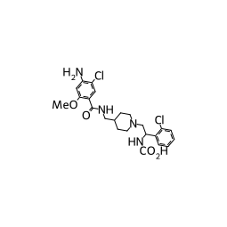 COc1cc(N)c(Cl)cc1C(=O)NCC1CCN(CC(NC(=O)O)c2ccccc2Cl)CC1